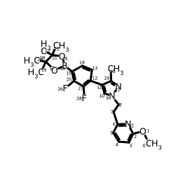 COc1cccc(CCn2cc(-c3ccc(B4OC(C)(C)C(C)(C)O4)c(F)c3F)c(C)n2)n1